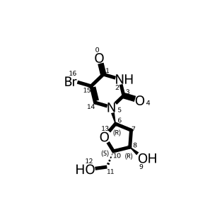 O=c1[nH]c(=O)n([C@H]2C[C@@H](O)[C@H](CO)O2)cc1Br